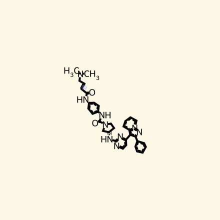 CN(C)C/C=C/C(=O)Nc1ccc(NC(=O)N2CC[C@H](Nc3nccc(-c4c(-c5ccccc5)nn5ccccc45)n3)C2)cc1